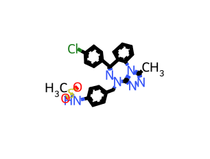 Cc1nnc2n1-c1ccccc1C(c1ccc(Cl)cc1)=NN2Cc1ccc(NS(C)(=O)=O)cc1